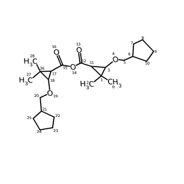 CC1(C)C(OCC2CCCC2)C1C(=O)OC(=O)C1C(OCC2CCCC2)C1(C)C